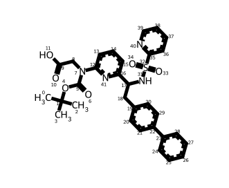 CC(C)(C)OC(=O)N(CC(=O)O)c1cccc(C(Cc2ccc(-c3ccccc3)cc2)NS(=O)(=O)c2ccccn2)n1